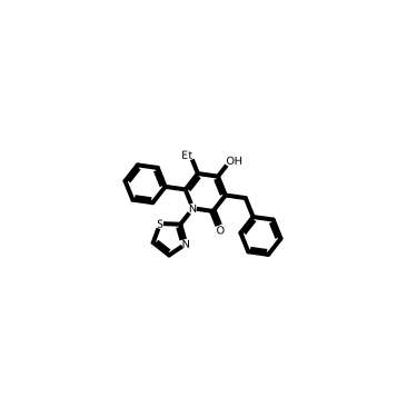 CCc1c(O)c(Cc2ccccc2)c(=O)n(-c2nccs2)c1-c1ccccc1